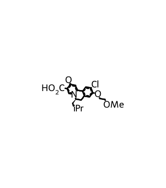 COCCOc1cc2c(cc1Cl)-c1cc(=O)c(C(=O)O)cn1[C@H](CC(C)C)C2